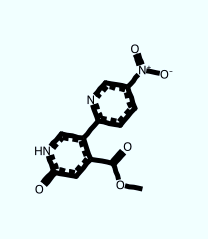 COC(=O)c1cc(=O)[nH]cc1-c1ccc([N+](=O)[O-])cn1